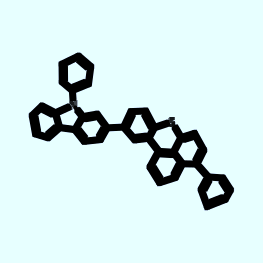 c1ccc(-c2ccc3c4c(cccc24)-c2cc(-c4ccc5c6ccccc6n(-c6ccccc6)c5c4)ccc2S3)cc1